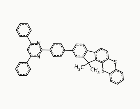 CC1(C)c2cc(-c3ccc(-c4nc(-c5ccccc5)cc(-c5ccccc5)n4)cc3)ccc2-c2ccc3c(c21)Sc1ccccc1S3